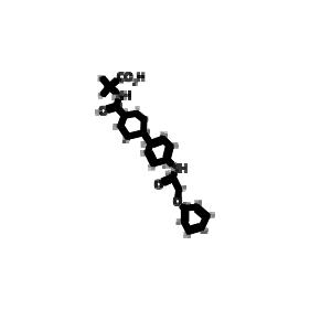 CC(C)(NC(=O)C1CCC(c2ccc(NC(=O)COc3ccccc3)cc2)CC1)C(=O)O